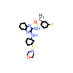 Cc1cc(F)ccc1[S+]([O-])Nc1nc2ccccc2nc1Nc1cccc(SN2CCOCC2)c1